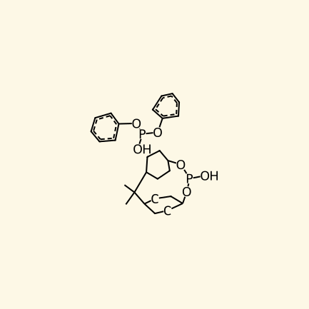 CC1(C)C2CCC(CC2)OP(O)OC2CCC1CC2.OP(Oc1ccccc1)Oc1ccccc1